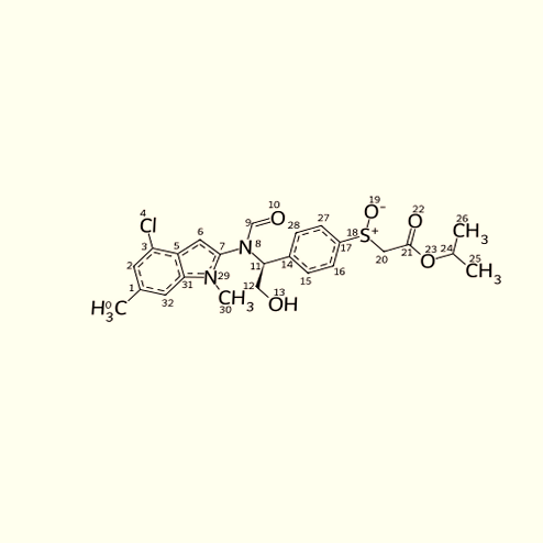 Cc1cc(Cl)c2cc(N(C=O)[C@H](CO)c3ccc([S+]([O-])CC(=O)OC(C)C)cc3)n(C)c2c1